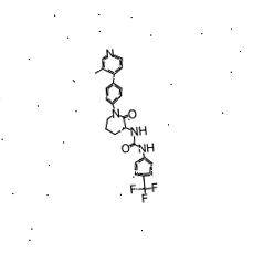 Cc1cnccc1-c1ccc(N2CCCC(NC(=O)Nc3ccc(C(F)(F)F)cc3)C2=O)cc1